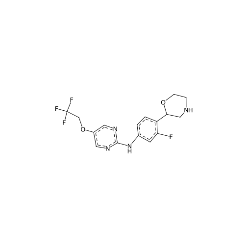 Fc1cc(Nc2ncc(OCC(F)(F)F)cn2)ccc1C1CNCCO1